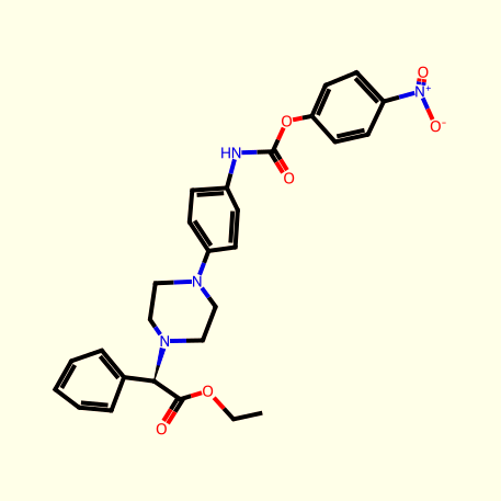 CCOC(=O)[C@@H](c1ccccc1)N1CCN(c2ccc(NC(=O)Oc3ccc([N+](=O)[O-])cc3)cc2)CC1